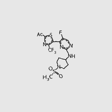 CC(=O)c1nc(C(F)(F)F)c(-c2nc(NC3CCN(S(C)(=O)=O)CC3)ncc2F)s1